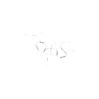 COc1cccc(C2(C)c3c(ccc(O)c3OC)C2OC)c1OC